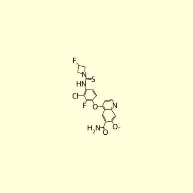 COc1cc2nccc(Oc3ccc(NC(=S)N4CC(F)C4)c(Cl)c3F)c2cc1C(N)=O